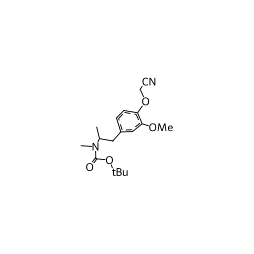 COc1cc(CC(C)N(C)C(=O)OC(C)(C)C)ccc1OCC#N